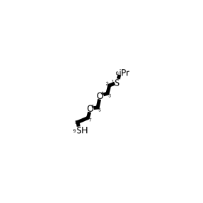 CC(C)SCCOCOCCS